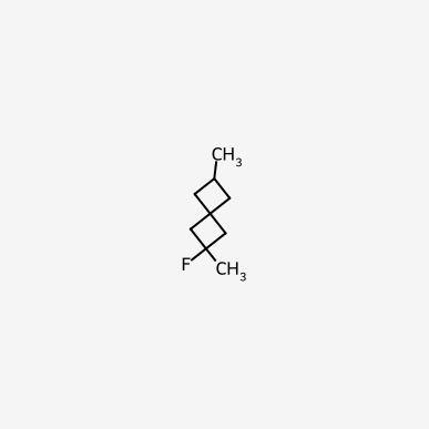 CC1CC2(C1)CC(C)(F)C2